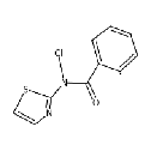 O=C(c1[c]cccc1)N(Cl)c1nccs1